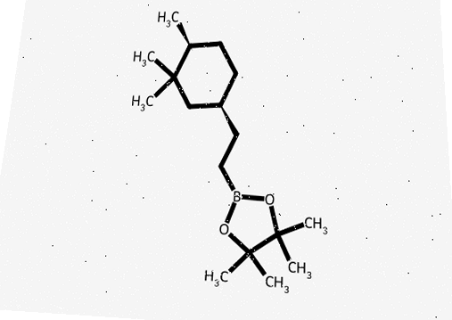 C[C@H]1CC[C@@H](CCB2OC(C)(C)C(C)(C)O2)CC1(C)C